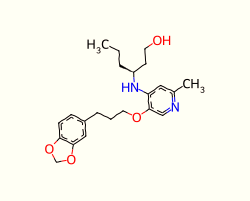 CCC[C@@H](CCO)Nc1cc(C)ncc1OCCCc1ccc2c(c1)OCO2